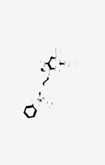 COP(=O)(COCCn1cnc2c(=O)[nH]c(N)nc21)Oc1ccccc1